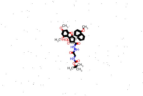 COc1ccc([C@@]23Oc4cc(OC)cc(OC)c4[C@]2(O)[C@H](O)[C@H](C(=O)NNC(=O)CNC(=O)OC(C)(C)C)[C@H]3c2ccccc2)cc1